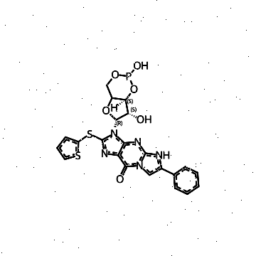 O=c1c2nc(Sc3cccs3)n([C@@H]3OC4COP(O)O[C@H]4[C@@H]3O)c2nc2[nH]c(-c3ccccc3)cn12